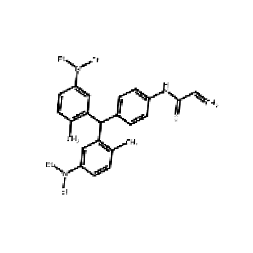 C=CC(=O)Nc1ccc(C(c2cc(N(CC)CC)ccc2C)c2cc(N(CC)CC)ccc2C)cc1